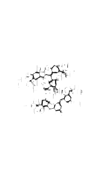 Cc1cc(Cc2cc(C)cc(C(C)(C)C)c2O)c(O)c(Cc2cc(C)cc(C(C)(C)C)c2O)c1.Cc1cc(O)c(C(C)(C)C)cc1C(C)CC(c1cc(C(C)(C)C)c(O)cc1C)c1cc(C(C)(C)C)c(O)cc1C